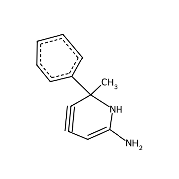 CC1(c2ccccc2)C#CC=C(N)N1